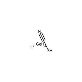 N#CS.[GeH4].[H+]